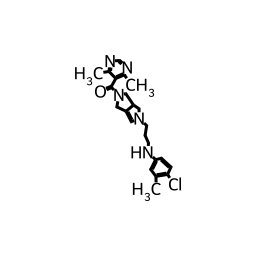 Cc1cc(NCCCN2C=C3CN(C(=O)c4c(C)ncnc4C)CC3C2)ccc1Cl